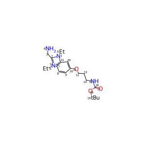 CCn1c(CN)[n+](CC)c2ccc(OCCCNC(=O)OC(C)(C)C)cc21